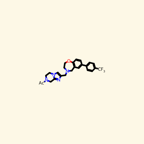 CC(=O)N1CCn2cc(CN3CCOc4ccc(-c5ccc(C(F)(F)F)cc5)cc4C3)nc2C1